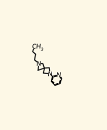 CCCCN1CC2(C1)CN(c1ccccn1)C2